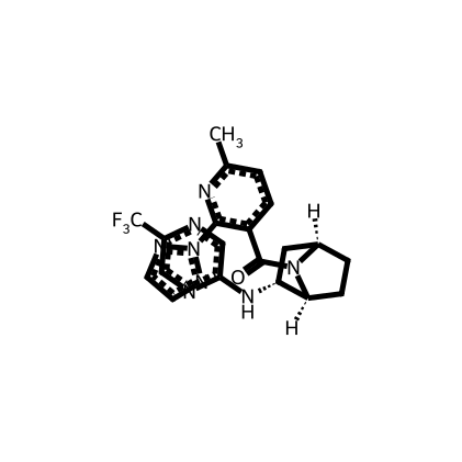 Cc1ccc(C(=O)N2[C@@H]3CC[C@H]2[C@H](Nc2cnc(C(F)(F)F)cn2)C3)c(-n2nccn2)n1